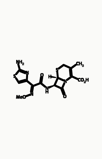 CON=C(C(=O)N[C@@H]1C(=O)N2C(C(=O)O)=C(C)CS[C@H]12)c1csc(N)n1